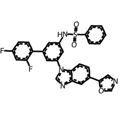 O=S(=O)(Nc1cc(-c2ccc(F)cc2F)cc(-n2cnc3cc(-c4cnco4)ccc32)c1)c1ccccc1